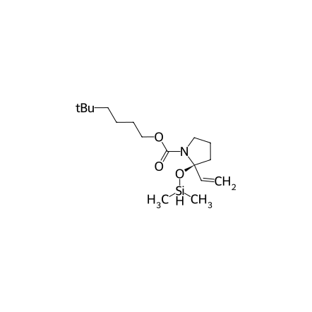 C=C[C@@]1(O[SiH](C)C)CCCN1C(=O)OCCCCC(C)(C)C